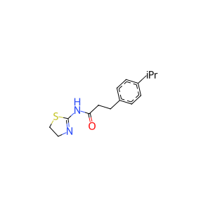 CC(C)c1ccc(CCC(=O)NC2=NCCS2)cc1